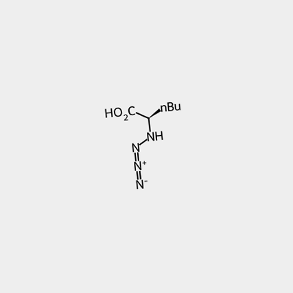 CCCC[C@@H](NN=[N+]=[N-])C(=O)O